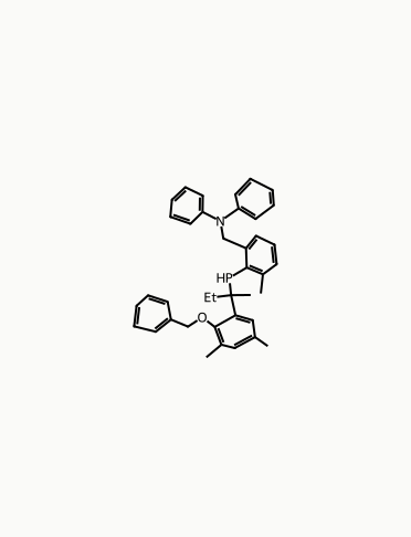 CCC(C)(Pc1c(C)cccc1CN(c1ccccc1)c1ccccc1)c1cc(C)cc(C)c1OCc1ccccc1